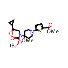 COC(=O)c1ccc(N2CCC(OC)(N(CC(=O)C3CC3)C(=O)OC(C)(C)C)CC2)s1